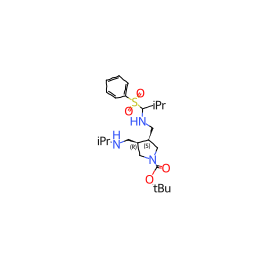 CC(C)NC[C@@H]1CN(C(=O)OC(C)(C)C)C[C@@H]1CNC(C(C)C)S(=O)(=O)c1ccccc1